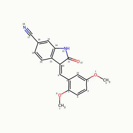 COc1ccc(OC)c(/C=C2\C(=O)Nc3cc(C#N)ccc32)c1